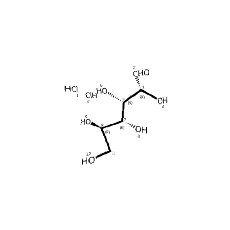 Cl.Cl.O=C[C@H](O)[C@@H](O)[C@H](O)[C@H](O)CO